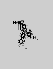 Cc1ccc(N2CCN(C(=O)N(Cc3ccc(C(=O)NO)cc3)c3ccc(C)cc3F)CC2)cc1